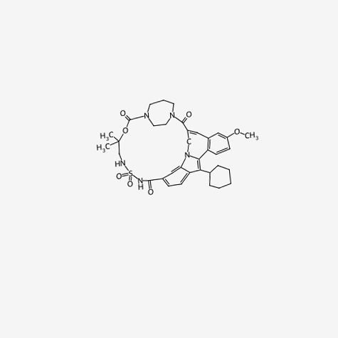 COc1ccc2c(c1)C=C1Cn3c-2c(C2CCCCC2)c2ccc(cc23)C(=O)NS(=O)(=O)NCC(C)(C)OC(=O)N2CCCN(CC2)C1=O